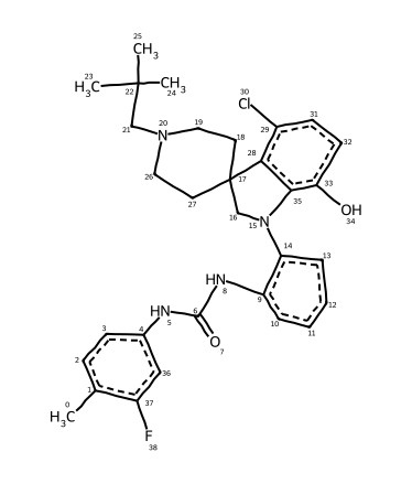 Cc1ccc(NC(=O)Nc2ccccc2N2CC3(CCN(CC(C)(C)C)CC3)c3c(Cl)ccc(O)c32)cc1F